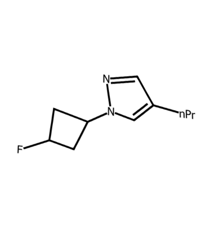 CCCc1cnn(C2CC(F)C2)c1